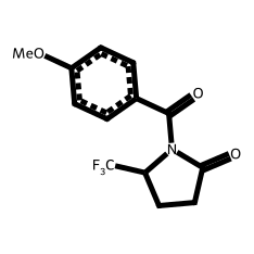 COc1ccc(C(=O)N2C(=O)CCC2C(F)(F)F)cc1